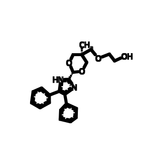 C[C@]1(COCCO)CO[C@H](c2nc(-c3ccccc3)c(-c3ccccc3)[nH]2)OC1